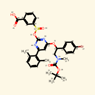 Cc1cccc(C)c1-c1cc(OC(CN(C)C(=O)OC(C)(C)C)c2ccc(Br)cc2)nc(OS(=O)c2cccc(C(=O)O)c2)n1